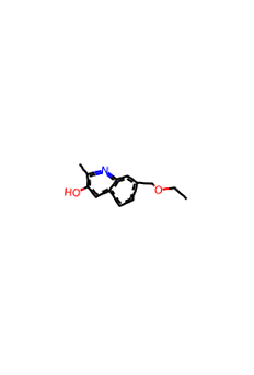 CCOCc1ccc2cc(O)c(C)nc2c1